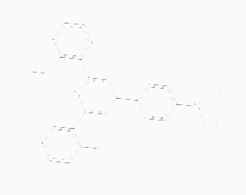 CCCCN(CCCC)c1ccc(-c2cc(-c3ccccc3OCC)nc(-c3ccccc3OCC)c2)cc1